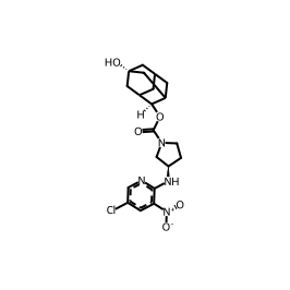 O=C(O[C@H]1C2CC3CC1C[C@](O)(C3)C2)N1CC[C@@H](Nc2ncc(Cl)cc2[N+](=O)[O-])C1